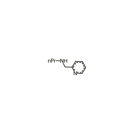 [CH2]CCNCc1ccccn1